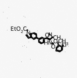 CCOC(=O)Cn1ccc2cc(-c3cccc(-c4onc(C)c4NC(=O)OC(C)c4ccccc4Cl)c3)ccc21